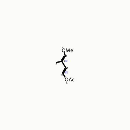 CO/C=C(C)/C=C/OC(C)=O